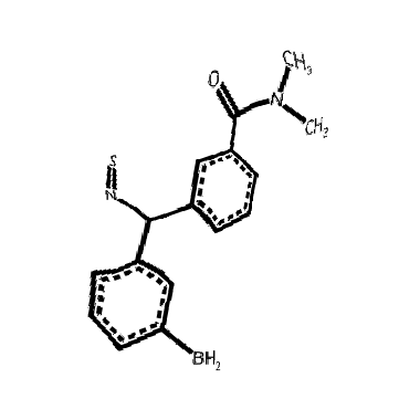 Bc1cccc(C(N=S)c2cccc(C(=O)N(C)C)c2)c1